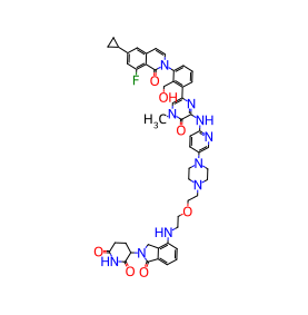 Cn1cc(-c2cccc(-n3ccc4cc(C5CC5)cc(F)c4c3=O)c2CO)nc(Nc2ccc(N3CCN(CCOCCNc4cccc5c4CN(C4CCC(=O)NC4=O)C5=O)CC3)cn2)c1=O